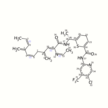 C=C(/C=C\C)/C=C\CC(=C)/C=C(\N=C/C)C(=O)N[C@H](C)C1=CCC=C(C(=O)Nc2cc(C(F)(F)F)c(Cl)cn2)S1